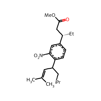 CC[C@@H](CC(=O)OC)c1ccc(C(C=C(C)C)CC(C)C)c([N+](=O)[O-])c1